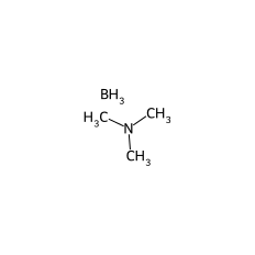 B.CN(C)C